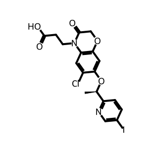 C[C@@H](Oc1cc2c(cc1Cl)N(CCC(=O)O)C(=O)CO2)c1ccc(I)cn1